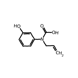 C=CCN(C(=O)O)c1cccc(O)c1